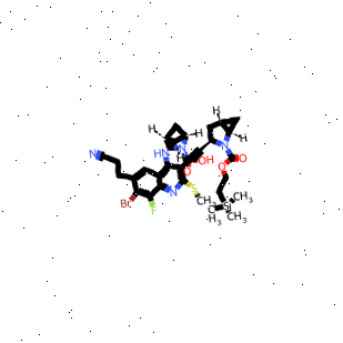 CSc1nc2c(F)c(Br)c(CCC#N)cc2c(N[C@H]2[C@@H]3C[C@H]2N(C(=O)O)C3)c1C#C[C@H]1C[C@H]2C[C@H]2N1C(=O)OCC[Si](C)(C)C